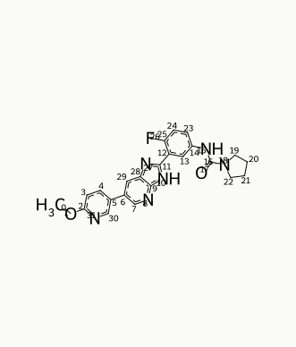 COc1ccc(-c2cnc3[nH]c(-c4cc(NC(=O)N5CCCC5)ccc4F)nc3c2)cn1